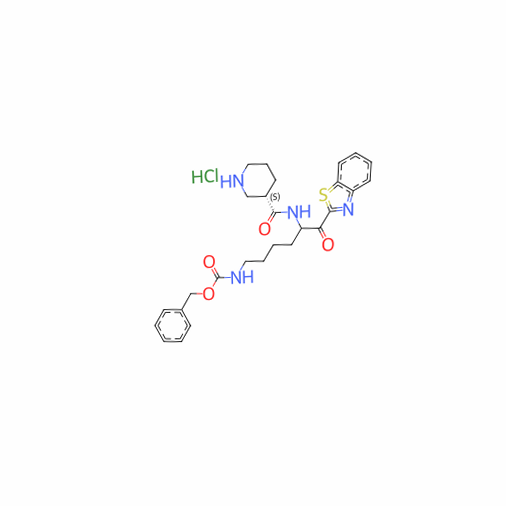 Cl.O=C(NCCCCC(NC(=O)[C@H]1CCCNC1)C(=O)c1nc2ccccc2s1)OCc1ccccc1